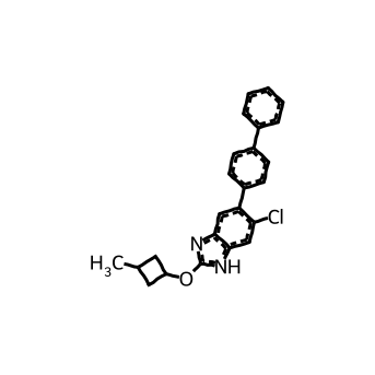 CC1CC(Oc2nc3cc(-c4ccc(-c5ccccc5)cc4)c(Cl)cc3[nH]2)C1